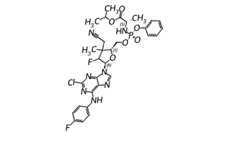 CC(C)OC(=O)[C@H](C)NP(=O)(OC[C@H]1O[C@@H](n2cnc3c(Nc4ccc(F)cc4)nc(Cl)nc32)C(F)C1(C)CC#N)Oc1ccccc1